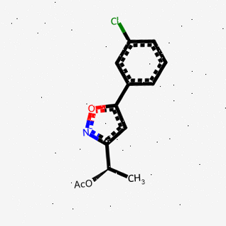 CC(=O)O[C@H](C)c1cc(-c2cccc(Cl)c2)on1